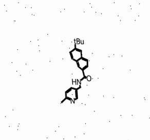 Cc1ccc(CNC(=O)c2ccc3cc(C(C)(C)C)ccc3c2)cn1